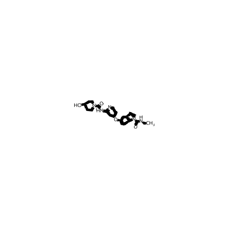 CCNC(=O)n1ccc2cc(Oc3ccnc(NC(=O)N4CCC(O)CC4)c3)ccc21